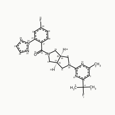 Cc1cc(C(C)(C)F)nc(N2C[C@H]3CN(C(=O)c4ccc(F)cc4-n4nccn4)C[C@H]3C2)n1